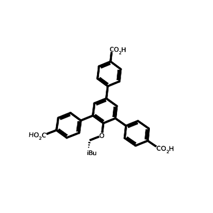 CC[C@@H](C)COc1c(-c2ccc(C(=O)O)cc2)cc(-c2ccc(C(=O)O)cc2)cc1-c1ccc(C(=O)O)cc1